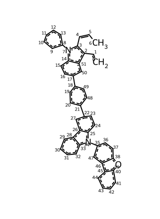 C=Cc1c(/C=C\C)n(-c2ccccc2)c2ccc(-c3ccc(-c4ccc5c(c4)c4ccccc4n5-c4ccc5oc6ccccc6c5c4)cc3)cc12